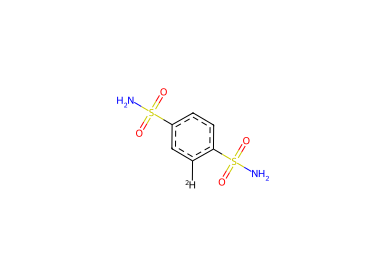 [2H]c1cc(S(N)(=O)=O)ccc1S(N)(=O)=O